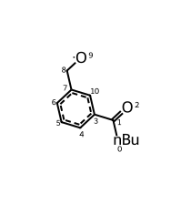 CCCCC(=O)c1cccc(C[O])c1